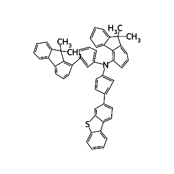 CC1(C)c2ccccc2-c2c(N(c3ccc(-c4ccc5c(c4)sc4ccccc45)cc3)c3cccc(-c4cccc5c4C(C)(C)c4ccccc4-5)c3)cccc21